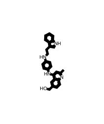 Cc1cc(Nc2ccc(NCCc3c[nH]c4ccccc34)cc2)c2cc(CO)ccc2n1